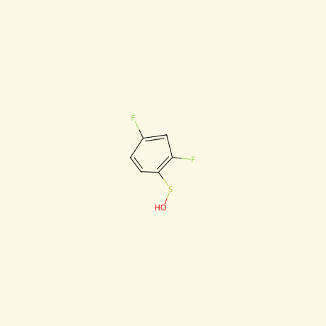 OSc1ccc(F)cc1F